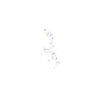 Cc1c(NC(=O)c2nc3c(n2C)CCN(C)C3)cccc1-c1cncc(-c2nc3cc(CN4CC[C@@H](C(=O)O)C4)cc(C#N)c3o2)c1C.O=C(O)C(F)(F)F